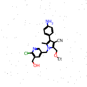 CCOCc1c(C#N)c(-c2ccc(N)cc2)c(C)n1Cc1cnc(Cl)c(CO)c1